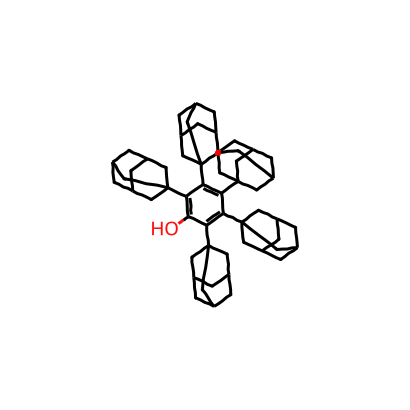 Oc1c(C23CC4CC(CC(C4)C2)C3)c(C23CC4CC(CC(C4)C2)C3)c(C23CC4CC(CC(C4)C2)C3)c(C23CC4CC(CC(C4)C2)C3)c1C12CC3CC(CC(C3)C1)C2